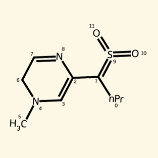 CCCC(C1=CN(C)CC=N1)=S(=O)=O